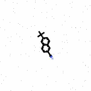 CC(C)(C)c1ccc2cc(C#N)ccc2c1